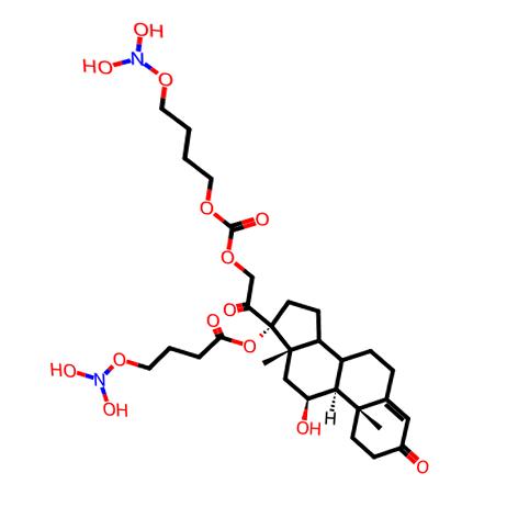 C[C@]12CCC(=O)C=C1CCC1C3CC[C@](OC(=O)CCCON(O)O)(C(=O)COC(=O)OCCCCON(O)O)[C@@]3(C)C[C@H](O)[C@@H]12